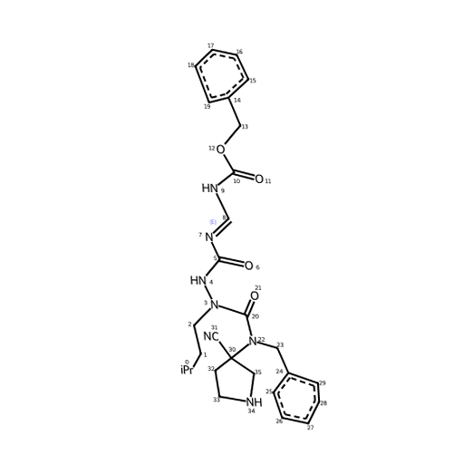 CC(C)CCN(NC(=O)/N=C/NC(=O)OCc1ccccc1)C(=O)N(Cc1ccccc1)C1(C#N)CCNC1